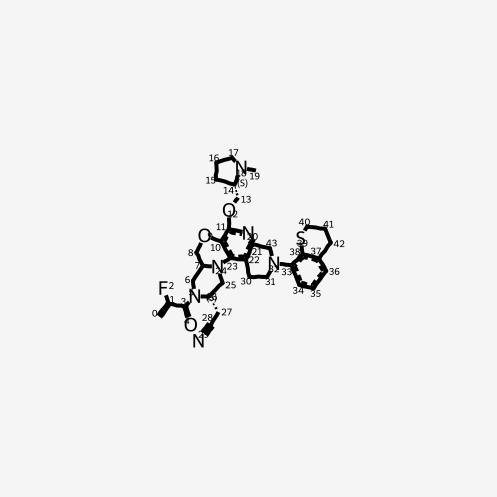 C=C(F)C(=O)N1CC2COc3c(OC[C@@H]4CCCN4C)nc4c(c3N2C[C@@H]1CC#N)CCN(c1cccc2c1SCCC2)C4